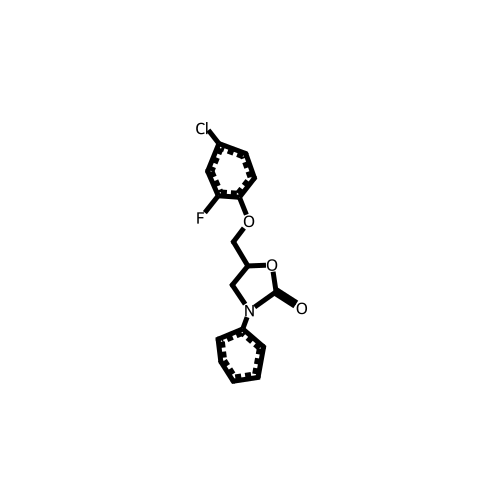 O=C1OC(COc2ccc(Cl)cc2F)CN1c1ccccc1